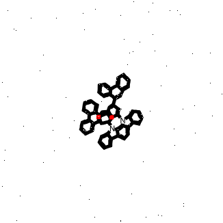 C1=CCC(n2c3ccccc3c3ccc4c5ccccc5n(-c5cc(-c6cc7ccccc7c7ccccc67)cc(-c6cc7ccccc7c7ccccc67)c5)c4c32)C=C1